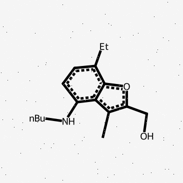 CCCCNc1ccc(CC)c2oc(CO)c(C)c12